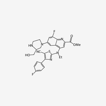 CCN(c1nc(-c2ccc(F)cc2)c(C#N)s1)c1cc(C(=O)OC)nc2c(F)cc(N3CCNC(CO)C3)cc12